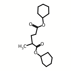 CC(CCC(=O)OC1CCCCC1)C(=O)OC1CCCCC1